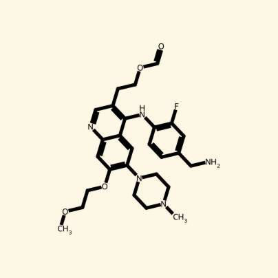 COCCOc1cc2ncc(CCOC=O)c(Nc3ccc(CN)cc3F)c2cc1N1CCN(C)CC1